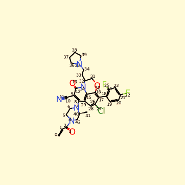 C=CC(=O)N1CCN(c2c(C#N)c(=O)n3c4c(c(-c5ccc(F)cc5F)c(Cl)cc24)OCC3CCN2CCCC2)[C@@H](C)C1